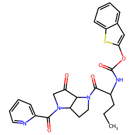 CCCC(NC(=O)Oc1cc2ccccc2s1)C(=O)N1CCC2C1C(=O)CN2C(=O)c1ccccn1